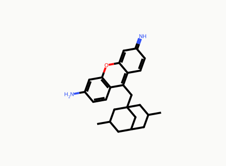 CC1CC2CC(C)CC(Cc3c4ccc(=N)cc-4oc4cc(N)ccc34)(C1)C2